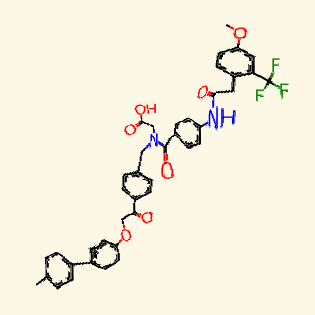 COc1ccc(CC(=O)Nc2ccc(C(=O)N(CC(=O)O)Cc3ccc(C(=O)COc4ccc(-c5ccc(C)cc5)cc4)cc3)cc2)c(C(F)(F)F)c1